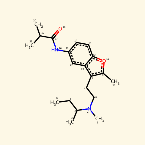 CCC(C)N(C)CCc1c(C)oc2ccc(NC(=O)C(C)C)cc12